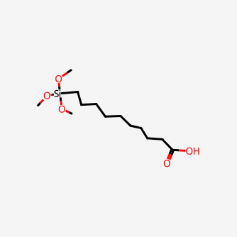 CO[Si](CCCCCCCCCC(=O)O)(OC)OC